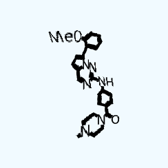 COc1ccccc1-c1ccc2cnc(Nc3ccc(C(=O)N4CCN(C)CC4)cc3)nn12